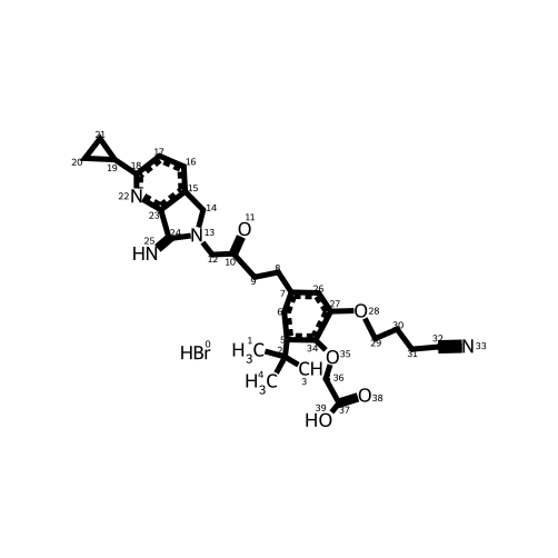 Br.CC(C)(C)c1cc(CCC(=O)CN2Cc3ccc(C4CC4)nc3C2=N)cc(OCCCC#N)c1OCC(=O)O